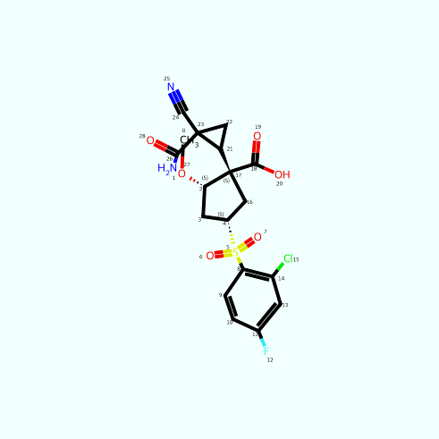 CO[C@H]1C[C@@H](S(=O)(=O)c2ccc(F)cc2Cl)C[C@]1(C(=O)O)C1CC1(C#N)C(N)=O